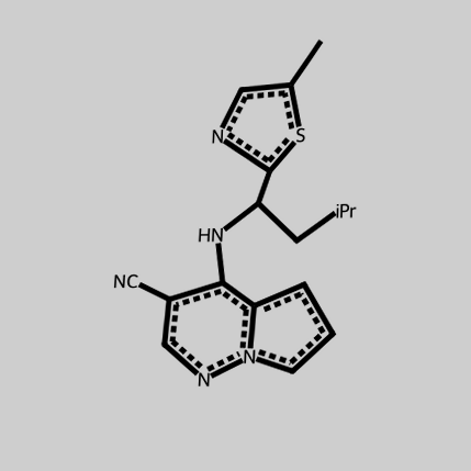 Cc1cnc(C(CC(C)C)Nc2c(C#N)cnn3cccc23)s1